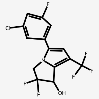 OC1c2c(C(F)(F)F)cc(-c3cc(F)cc(Cl)c3)n2CC1(F)F